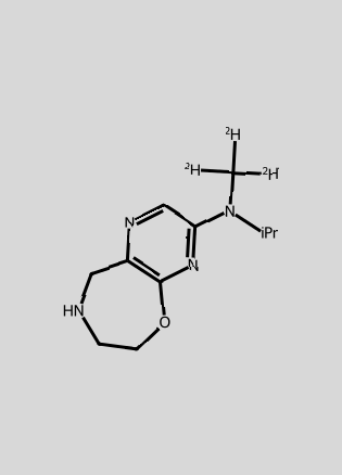 [2H]C([2H])([2H])N(c1cnc2c(n1)OCCNC2)C(C)C